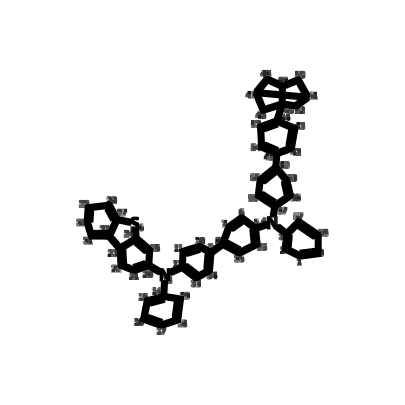 c1ccc(N(c2ccc(-c3ccc(N(c4ccccc4)c4ccc5c(c4)sc4ccccc45)cc3)cc2)c2ccc(-c3ccc(C45CC6CC4CC6C5)cc3)cc2)cc1